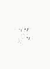 CC[N+](CC)(CC)Cc1cc(C[N+](CC)(CC)CC)c(C[N+](CC)(CC)CC)cc1C[N+](CC)(CC)CC